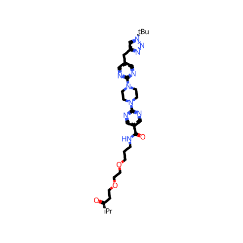 CC(C)C(=O)CCOCCOCCCNC(=O)c1cnc(N2CCN(c3ncc(Cc4cn(C(C)(C)C)nn4)cn3)CC2)nc1